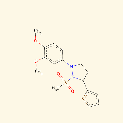 COc1ccc(N2CCC(c3cccs3)N2S(C)(=O)=O)cc1OC